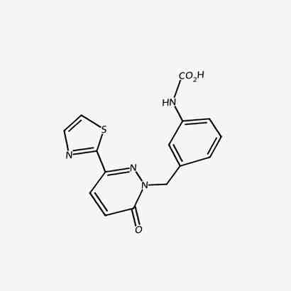 O=C(O)Nc1cccc(Cn2nc(-c3nccs3)ccc2=O)c1